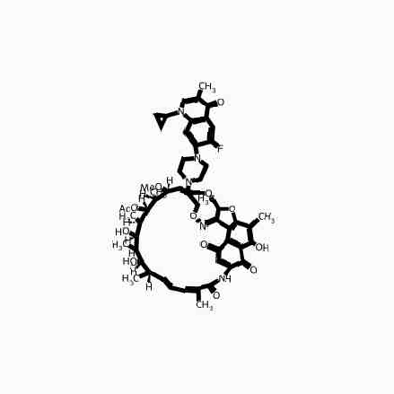 CO[C@H]1/C=C/O[C@@]2(C)Oc3c(C)c(O)c4c(c3/C2=N/OCCN2CCN(c3cc5c(cc3F)c(=O)c(C)cn5C3CC3)CC2)C(=O)C=C(NC(=O)/C(C)=C\C=C\[C@H](C)[C@H](O)[C@@H](C)[C@@H](O)[C@@H](C)[C@H](OC(C)=O)[C@@H]1C)C4=O